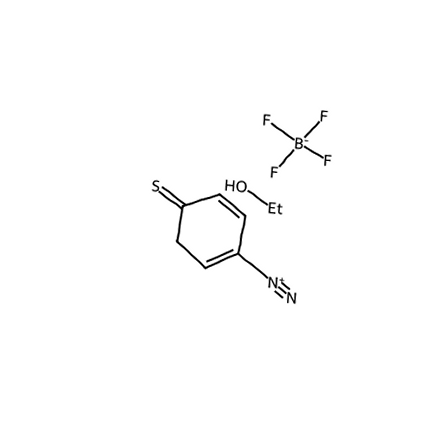 CCO.F[B-](F)(F)F.N#[N+]C1=CCC(=S)C=C1